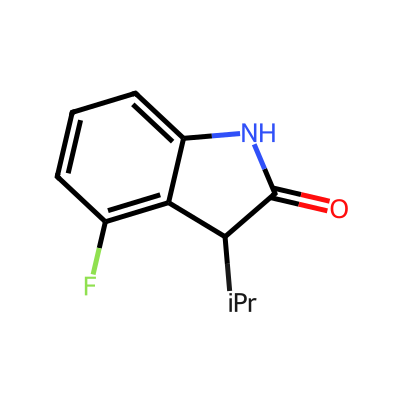 CC(C)C1C(=O)Nc2cccc(F)c21